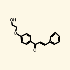 O=C(C=Cc1ccccc1)c1ccc(OCCO)cc1